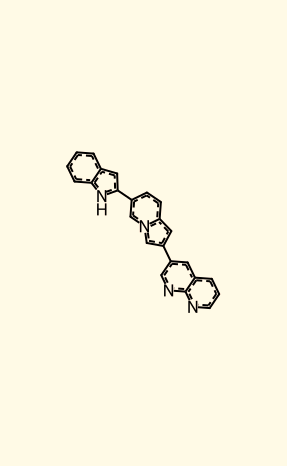 c1cnc2ncc(-c3cc4ccc(-c5cc6ccccc6[nH]5)cn4c3)cc2c1